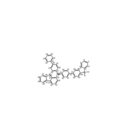 CC1(C)c2ccccc2-c2cc(-c3ccc(N(c4ccc(-c5ccccc5)cc4)c4cccc5c4sc4ccccc45)cc3)ccc21